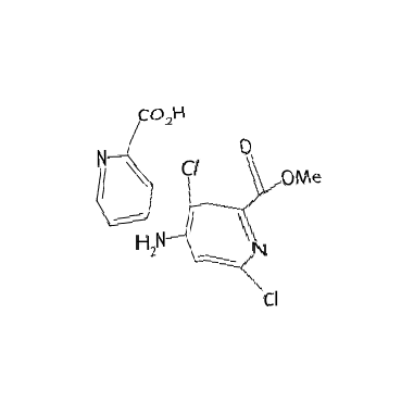 COC(=O)c1nc(Cl)cc(N)c1Cl.O=C(O)c1ccccn1